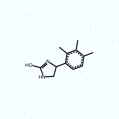 Cc1ccc(C2CNC(O)=N2)c(C)c1C